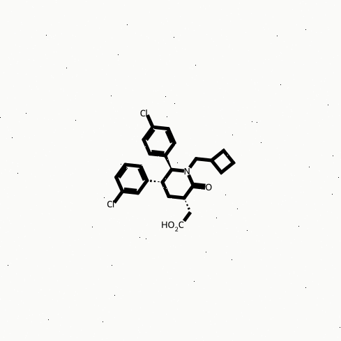 O=C(O)C[C@@H]1C[C@H](c2cccc(Cl)c2)[C@@H](c2ccc(Cl)cc2)N(CC2CCC2)C1=O